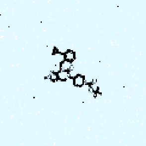 Cn1cc2c(n1)N(Cc1ccccc1C1CC1)C(=O)N(C1CCN(C(=O)OC(C)(C)C)CC1)C2